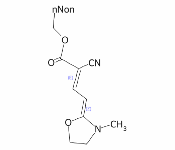 CCCCCCCCCCOC(=O)/C(C#N)=C/C=C1\OCCN1C